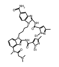 CCn1nc(C)cc1C(=O)Nc1nc2cc(C(N)=O)ccc2n1CCCCn1c(NC(=O)c2cc(C)nn2CC)nc2c(N(C)C(=O)CN(C)C)cccc21